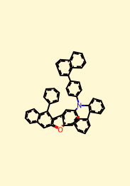 c1ccc(-c2ccccc2N(c2ccc(-c3cccc4ccccc34)cc2)c2ccc3oc4cc5ccccc5c(-c5ccccc5)c4c3c2)cc1